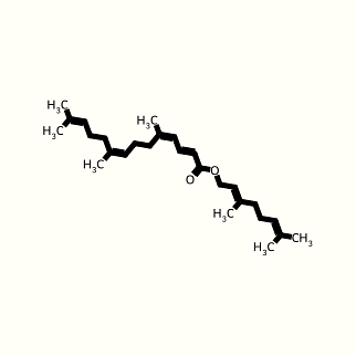 CC(C)=CCCC(C)=CCCC(C)=CC=CC(=O)OC/C=C(\C)CCC=C(C)C